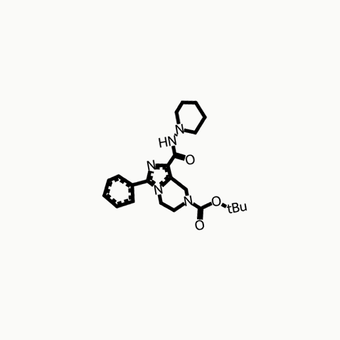 CC(C)(C)OC(=O)N1CCn2c(-c3ccccc3)nc(C(=O)NN3CCCCC3)c2C1